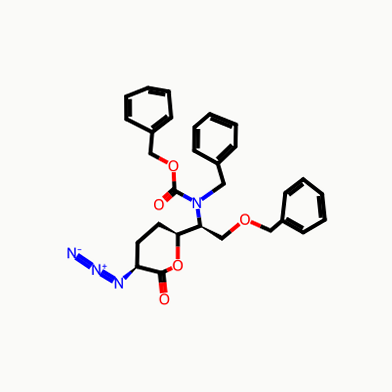 [N-]=[N+]=N[C@H]1CC[C@@H]([C@H](COCc2ccccc2)N(Cc2ccccc2)C(=O)OCc2ccccc2)OC1=O